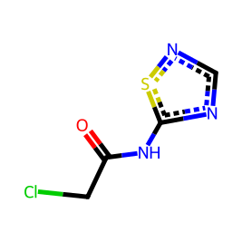 O=C(CCl)Nc1ncns1